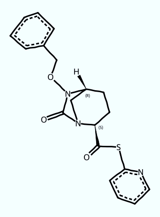 O=C(Sc1ccccn1)[C@@H]1CC[C@@H]2CN1C(=O)N2OCc1ccccc1